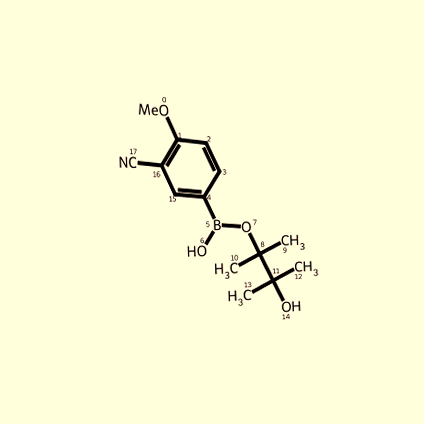 COc1ccc(B(O)OC(C)(C)C(C)(C)O)cc1C#N